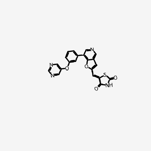 O=C1NC(=O)/C(=C/c2cc3cncc(-c4cccc(Oc5cncnc5)c4)c3o2)S1